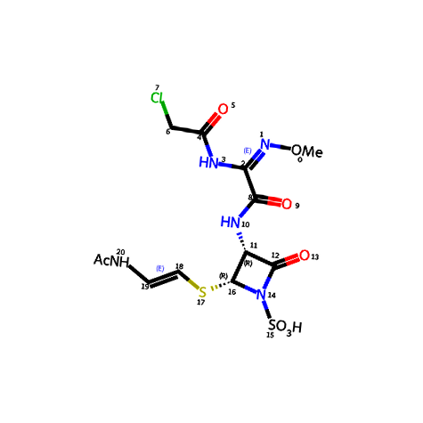 CO/N=C(/NC(=O)CCl)C(=O)N[C@@H]1C(=O)N(S(=O)(=O)O)[C@@H]1S/C=C/NC(C)=O